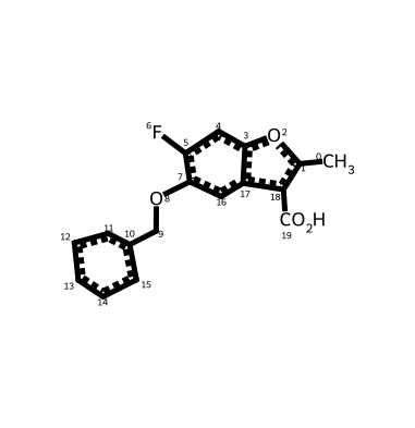 Cc1oc2cc(F)c(OCc3ccccc3)cc2c1C(=O)O